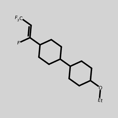 CCOC1CCC(C2CCC(/C(F)=C/C(F)(F)F)CC2)CC1